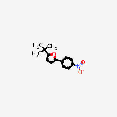 CC(C)(C)c1ccc(-c2ccc([N+](=O)[O-])cc2)o1